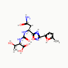 Cc1ccc(-c2noc([C@H](CC(N)=O)NC(=O)NC(C(=O)O)C(C)O)n2)o1